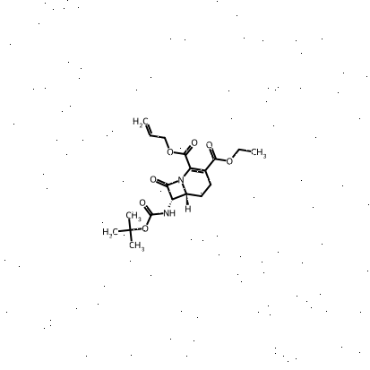 C=CCOC(=O)C1=C(C(=O)OCC)CC[C@@H]2[C@H](NC(=O)OC(C)(C)C)C(=O)N12